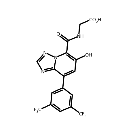 O=C(O)CNC(=O)c1c(O)cc(-c2cc(C(F)(F)F)cc(C(F)(F)F)c2)c2ncnn12